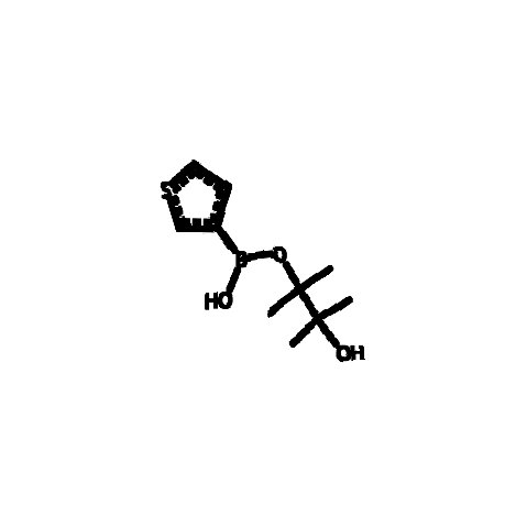 CC(C)(O)C(C)(C)OB(O)c1ccsc1